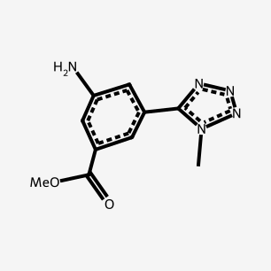 COC(=O)c1cc(N)cc(-c2nnnn2C)c1